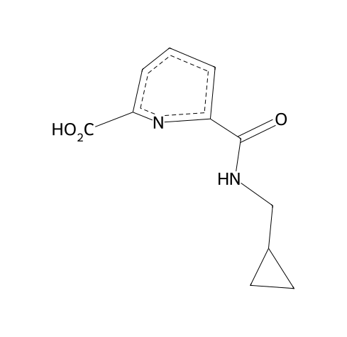 O=C(O)c1cccc(C(=O)NCC2CC2)n1